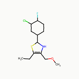 CCC1=C(COC)NC(C2CCC(F)C(Cl)C2)S1